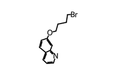 BrCCCCOc1ccc2cccnc2c1